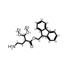 CCOC(OCC)C(CCN)C(=O)OCC1c2ccccc2-c2ccccc21